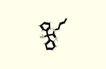 CC=CCOC(=O)C(O)(c1ccccc1)c1ccccc1